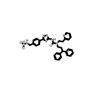 O=C(Nc1nc(-c2ccc(CN[SH](=O)=O)cc2)ns1)N(CCc1ccccn1)CCC(c1ccccc1)c1ccccc1